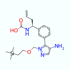 C=CC[C@H](NC(=O)O)c1cccc(-c2c(N)cnn2COCC[Si](C)(C)C)c1